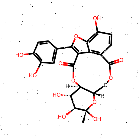 C[C@]1(O)O[C@H]2COC(=O)c3ccc(O)c4oc(-c5ccc(O)c(O)c5)c(c34)C(=O)O[C@@H]2[C@@H](O)[C@@H]1O